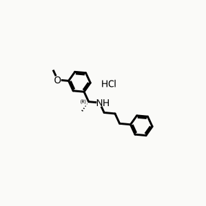 COc1cccc([C@@H](C)NCCCc2ccccc2)c1.Cl